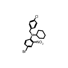 O=[N+]([O-])c1cc(Br)ccc1N(Cc1ccc(Cl)cc1)C1CCCCC1